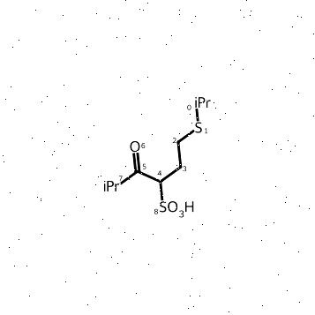 CC(C)SCCC(C(=O)C(C)C)S(=O)(=O)O